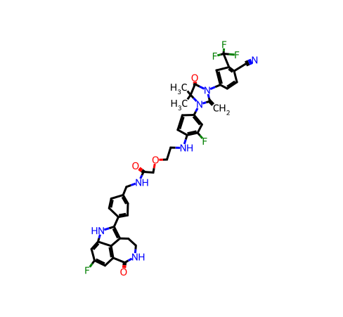 C=C1N(c2ccc(C#N)c(C(F)(F)F)c2)C(=O)C(C)(C)N1c1ccc(NCCOCC(=O)NCc2ccc(-c3[nH]c4cc(F)cc5c4c3CCNC5=O)cc2)c(F)c1